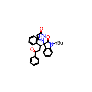 CCCCN1C(=O)[C@@](C(CC(=O)c2ccccc2)c2ccccc2)(n2ccc(=O)[nH]2)c2ccccc21